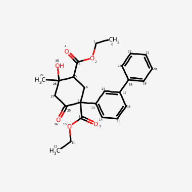 CCOC(=O)C1CC(C(=O)OCC)(c2cccc(-c3ccccc3)c2)C(=O)CC1(C)O